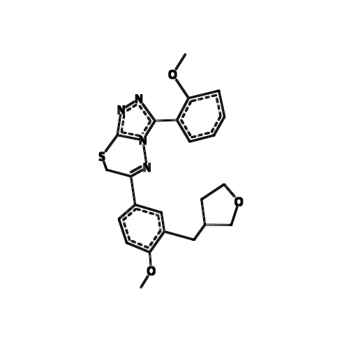 COc1ccc(C2=Nn3c(nnc3-c3ccccc3OC)SC2)cc1CC1CCOC1